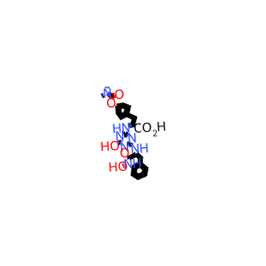 CN(C)C(=O)Oc1ccc(C[C@H](Nc2nc(O)nc(NC(Cc3ccccc3)C(=O)NO)n2)C(=O)O)cc1